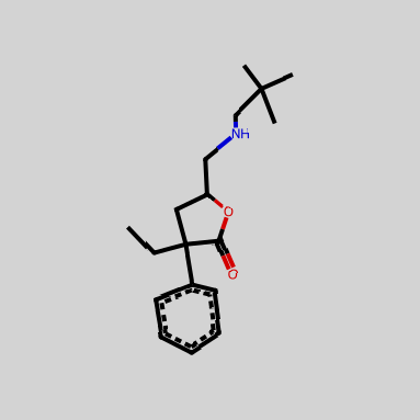 CCC1(c2ccccc2)CC(CNCC(C)(C)C)OC1=O